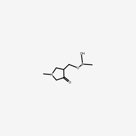 CB(O)OCC1CN(C)CC1=O